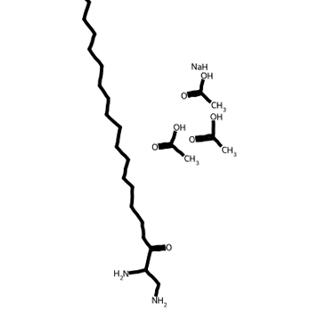 CC(=O)O.CC(=O)O.CC(=O)O.CCCCCCCCCCCCCCCCCC(=O)C(N)CN.[NaH]